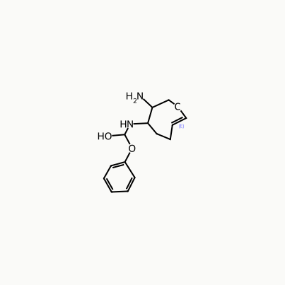 NC1CC/C=C/CCC1NC(O)Oc1ccccc1